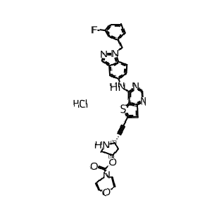 Cl.O=C(O[C@@H]1CN[C@H](C#Cc2cc3ncnc(Nc4ccc5c(cnn5Cc5cccc(F)c5)c4)c3s2)C1)N1CCOCC1